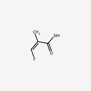 CC(=CF)C(=O)[SiH]